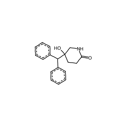 O=C1CCC(O)(C(c2ccccc2)c2ccccc2)CN1